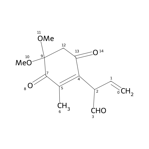 C=CC(C=O)C1=C(C)C(=O)C(OC)(OC)CC1=O